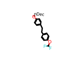 CCCCCCCCCCOc1ccc(CCc2ccc(OC(F)F)cc2)cc1